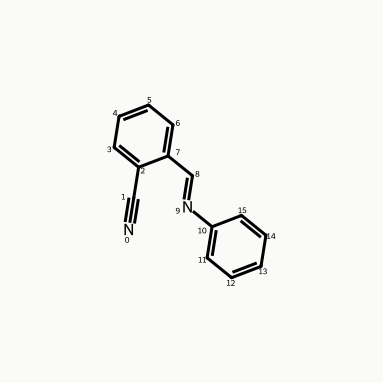 N#Cc1ccccc1/C=N/c1ccccc1